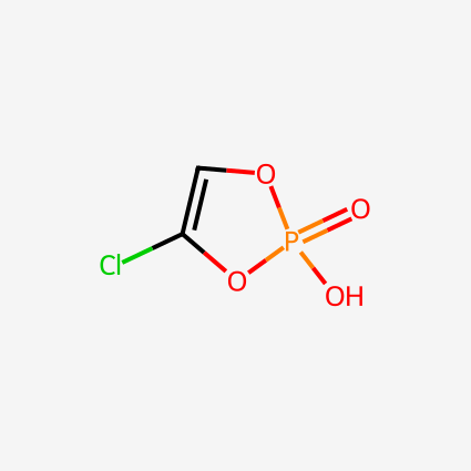 O=P1(O)OC=C(Cl)O1